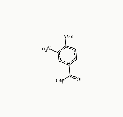 CNc1ccc(C(=O)N=O)cc1N